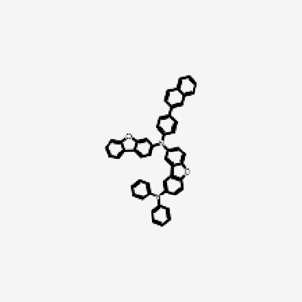 c1ccc(N(c2ccccc2)c2ccc3oc4ccc(N(c5ccc(-c6ccc7ccccc7c6)cc5)c5ccc6c(c5)oc5ccccc56)cc4c3c2)cc1